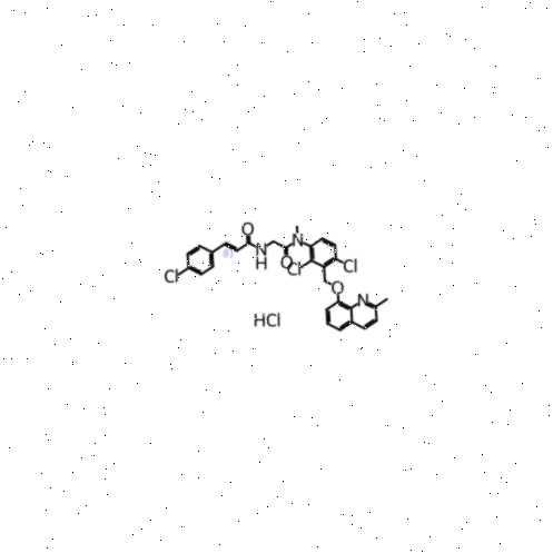 Cc1ccc2cccc(OCc3c(Cl)ccc(N(C)C(=O)CNC(=O)/C=C/c4ccc(Cl)cc4)c3Cl)c2n1.Cl